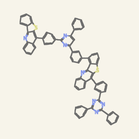 c1ccc(-c2cc(-c3cccc(-c4cccc5sc6c(-c7cccc(-c8nc(-c9ccccc9)nc(-c9ccccc9)n8)c7)c7ccccc7nc6c45)c3)nc(-c3ccc(-c4c5ccccc5nc5c4sc4ccccc45)cc3)n2)cc1